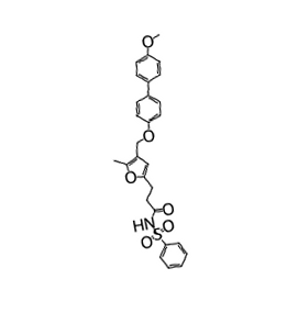 COc1ccc(-c2ccc(OCc3cc(CCC(=O)NS(=O)(=O)c4ccccc4)oc3C)cc2)cc1